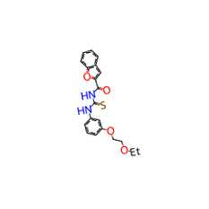 CCOCCOc1cccc(NC(=S)NC(=O)c2cc3ccccc3o2)c1